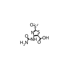 C[S+]([O-])c1nc(NC(N)=O)c(C(=O)O)s1